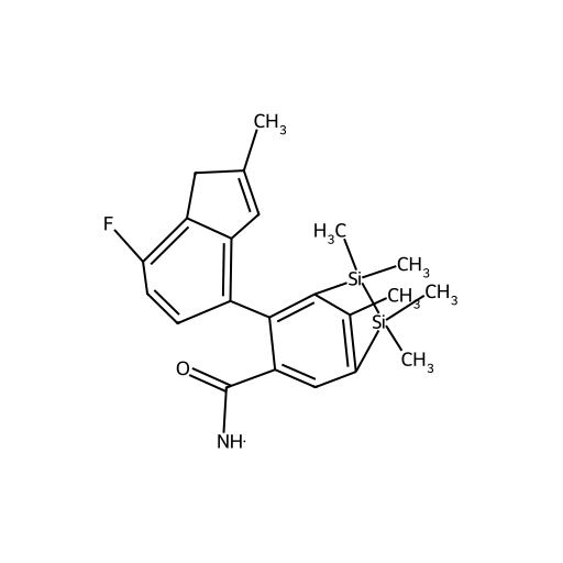 CC1=Cc2c(-c3c(C([NH])=O)cc4c(C)c3[Si](C)(C)[Si]4(C)C)ccc(F)c2C1